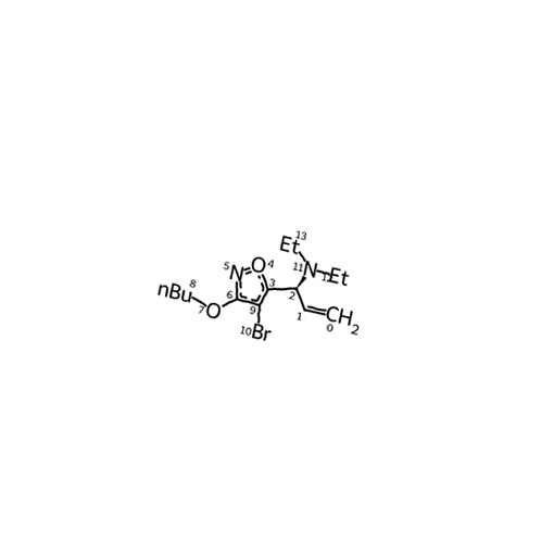 C=C[C@@H](c1onc(OCCCC)c1Br)N(CC)CC